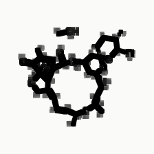 CC[C@H]1O[C@]2(CC[C@@H]1C)C[C@@H]1C[C@@H](C/C=C(\C)C[C@@H](C)/C=C/C=C3\CO[C@@H]4C(=O)C(C)=C[C@@H](C(=O)O1)[C@]34O)O2.CO